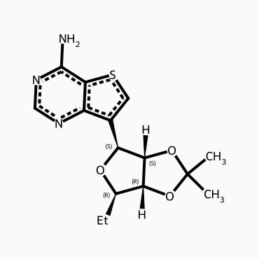 CC[C@H]1O[C@@H](c2csc3c(N)ncnc23)[C@@H]2OC(C)(C)O[C@@H]21